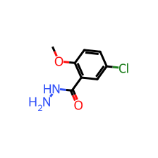 COc1ccc(Cl)cc1C(=O)NN